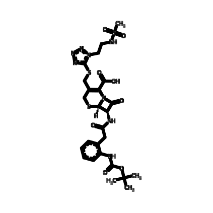 CC(C)(C)OC(=O)Nc1ccccc1CC(=O)N[C@@H]1C(=O)N2C(C(=O)O)=C(CSc3nnnn3CCNS(C)(=O)=O)CS[C@H]12